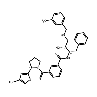 Cc1csc([C@H]2CCCN2C(=O)c2cccc(C(=O)N[C@@H](Cc3ccccc3)[C@H](O)CNCc3cccc(C(F)(F)F)c3)c2)n1